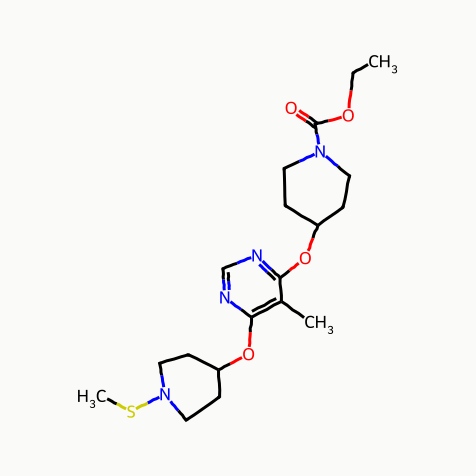 CCOC(=O)N1CCC(Oc2ncnc(OC3CCN(SC)CC3)c2C)CC1